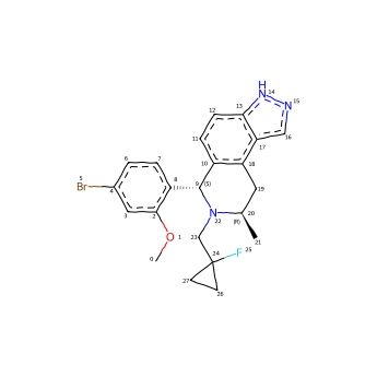 COc1cc(Br)ccc1[C@@H]1c2ccc3[nH]ncc3c2C[C@@H](C)N1CC1(F)CC1